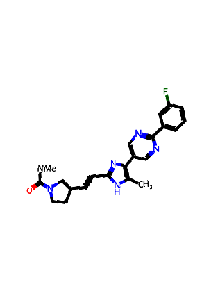 CNC(=O)N1CCC(/C=C/c2nc(-c3cnc(-c4cccc(F)c4)nc3)c(C)[nH]2)C1